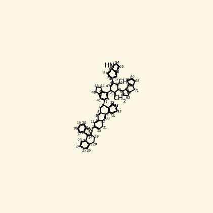 C=C1C(c2cc(C3CC4=CC5=CC(n6c7c(c8ccccc86)-c6ccccc6CC7)=CCC5C=C4c4ccccc43)cc3c2CCC3)C=C(c2ccc3[nH]ccc3c2)C(C)C1C1CCC2=C1C1=C(C=C=C1)C2